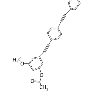 COc1cc(C#Cc2ccc(C#Cc3ccccc3)cc2)cc(OC(C)=O)c1